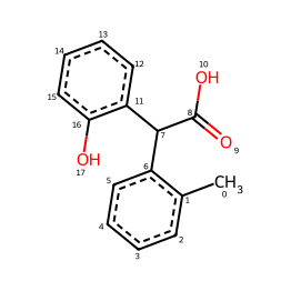 Cc1ccccc1C(C(=O)O)c1ccccc1O